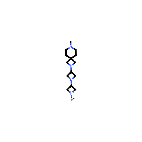 CC(C)N1CC(N2CC(N3CC4(CCN(C)CC4)C3)C2)C1